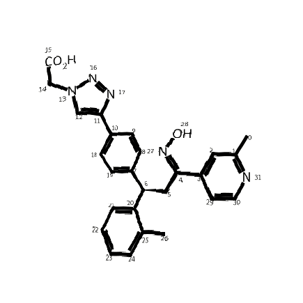 Cc1cc(C(C[C@H](c2ccc(-c3cn(CC(=O)O)nn3)cc2)c2ccccc2C)=NO)ccn1